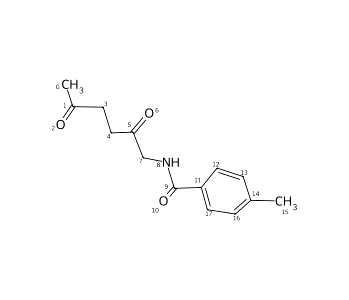 CC(=O)CCC(=O)CNC(=O)c1ccc(C)cc1